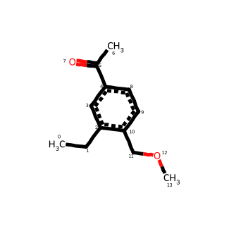 CCc1cc(C(C)=O)ccc1COC